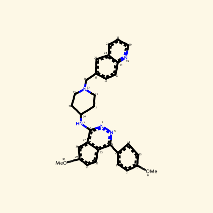 COc1ccc(-c2nnc(NC3CCN(Cc4ccc5ncccc5c4)CC3)c3cc(OC)ccc23)cc1